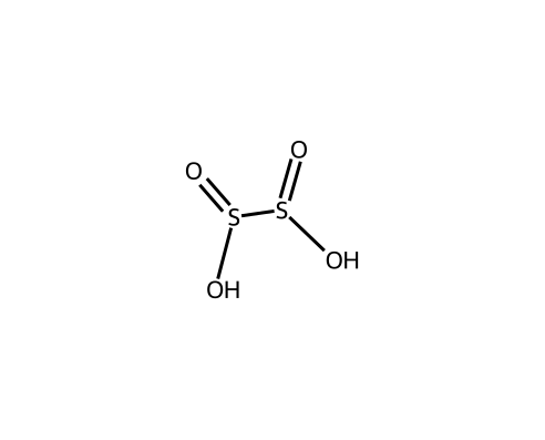 O=S(O)S(=O)O